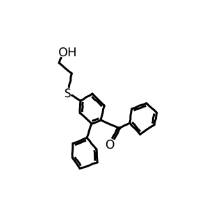 O=C(c1ccccc1)c1ccc(SCCO)cc1-c1ccccc1